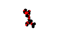 c1ccc(-n2c3ccccc3c3cc(N(c4ccc5c(ccc6ccc7ccccc7c65)c4)c4cccc5c4oc4ccc(-c6ccc7oc8c(N(c9ccc%10c(ccc%11ccc%12ccccc%12c%11%10)c9)c9cccc%10c%11ccccc%11n(-c%11ccccc%11)c9%10)cccc8c7c6)cc45)ccc32)cc1